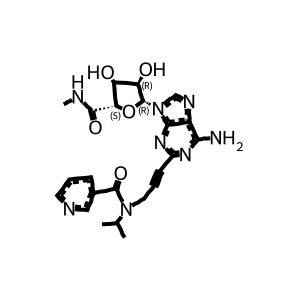 CNC(=O)[C@H]1O[C@@H](n2cnc3c(N)nc(C#CCN(C(=O)c4cccnc4)C(C)C)nc32)[C@H](O)C1O